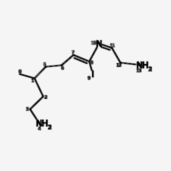 CC(CCN)CCC=C(I)/N=C\CN